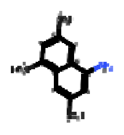 Nc1cc(S(=O)(=O)O)cc2c(S(=O)(=O)O)cc(S(=O)(=O)O)cc12